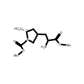 CC(C)(C)OC(=O)C(N)CC1C[C@@H](C(=O)O)N(C(=O)OC(C)(C)C)C1